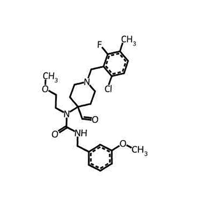 COCCN(C(=O)NCc1cccc(OC)c1)C1(C=O)CCN(Cc2c(Cl)ccc(C)c2F)CC1